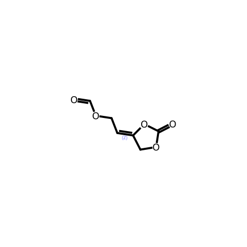 O=COC/C=C1/COC(=O)O1